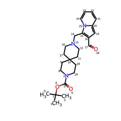 CC(C)(C)OC(=O)N1CCC2(CCN(Cc3c(C=O)cc4ccccn34)CC2)CC1